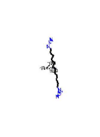 CCC[CH2][Sn]([CH2]CCC)([CH2]CCC)/[C](=C\CCCCCN=[N+]=[N-])CCCCCN=[N+]=[N-]